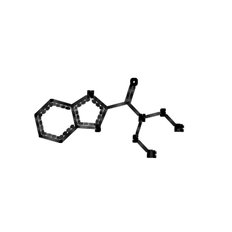 CCSN(SCC)C(=O)c1nc2ccccc2s1